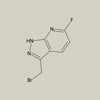 Fc1ccc2c(CBr)n[nH]c2n1